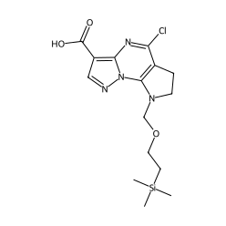 C[Si](C)(C)CCOCN1CCc2c(Cl)nc3c(C(=O)O)cnn3c21